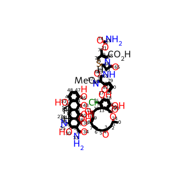 CC1CC2OC2/C=C\C=C\C(=O)Cc2c(Cl)c(O)cc(O)c2C(=O)O1.CN(C)[C@@H]1C(O)=C(C(N)=O)C(=O)[C@@]2(O)C(O)=C3C(=O)c4c(O)cccc4[C@@](C)(O)[C@H]3C[C@@H]12.CO/N=C(\C(=O)N[C@@H]1C(=O)N2C(C(=O)O)=C(COC(N)=O)CS[C@H]12)c1ccco1